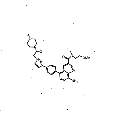 COCCN(C)C(=O)c1cnc2c(N)ncc(-c3ccc(-c4cnn(CC(=O)N5CCN(C)CC5)c4)cc3)c2c1